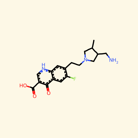 CC1CN(CCc2cc3[nH]cc(C(=O)O)c(=O)c3cc2F)CC1CN